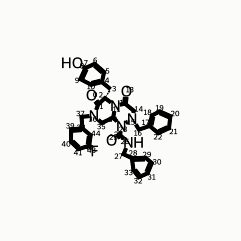 O=C1[C@H](Cc2ccc(O)cc2)N2C(=O)CN(Cc3ccccc3)N(C(=O)NCc3ccccc3)C2CN1Cc1cccc(F)c1